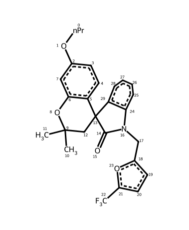 CCCOc1ccc2c(c1)OC(C)(C)CC21C(=O)N(Cc2ccc(C(F)(F)F)o2)c2ccccc21